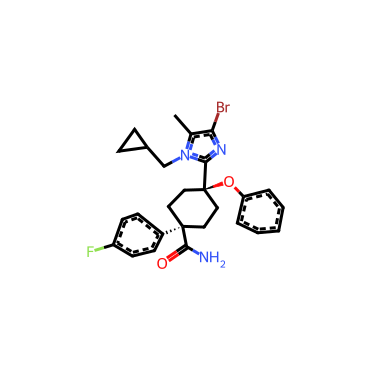 Cc1c(Br)nc([C@]2(Oc3ccccc3)CC[C@](C(N)=O)(c3ccc(F)cc3)CC2)n1CC1CC1